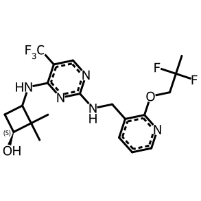 CC(F)(F)COc1ncccc1CNc1ncc(C(F)(F)F)c(NC2C[C@H](O)C2(C)C)n1